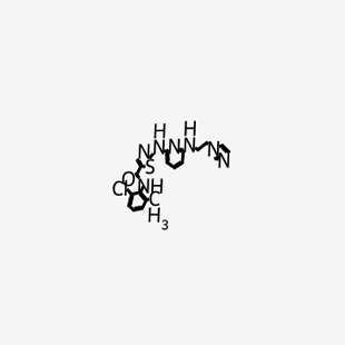 Cc1cccc(Cl)c1NC(=O)c1cnc(Nc2cccc(NCCn3ccnc3)n2)s1